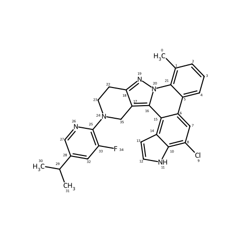 Cc1cccc2c3cc(Cl)c4[nH]ccc4c3c3c4c(nn3c12)CCN(c1ncc(C(C)C)cc1F)C4